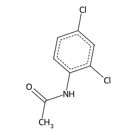 CC(=O)Nc1ccc(Cl)cc1Cl